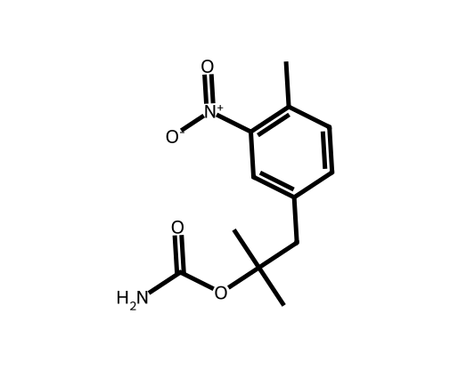 Cc1ccc(CC(C)(C)OC(N)=O)cc1[N+](=O)[O-]